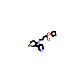 CN1CCc2c(c3cnccc3n2CCCC(=O)OC2CCCC2)C1